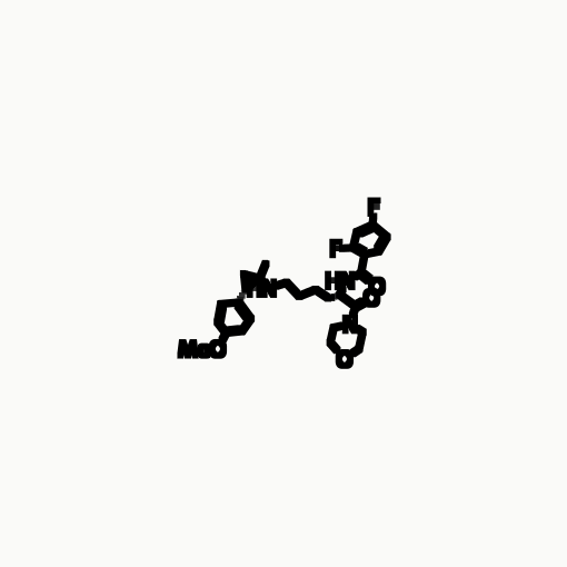 COc1ccc([C@@H]2CC2(C)NCCCC[C@H](NC(=O)c2ccc(F)cc2F)C(=O)N2CCOCC2)cc1